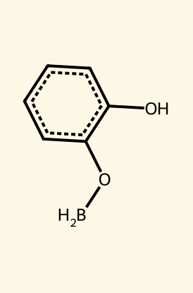 BOc1ccccc1O